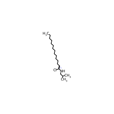 CCCCCCCCCCCCC/C=C(\Cl)NCC(C)C